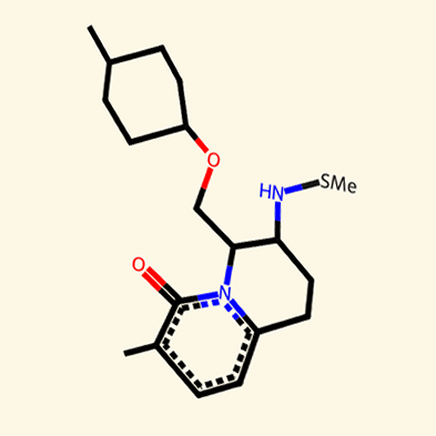 CSNC1CCc2ccc(C)c(=O)n2C1COC1CCC(C)CC1